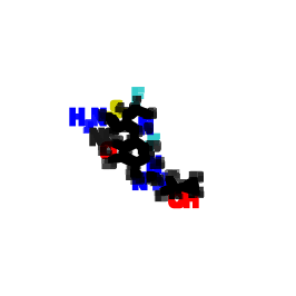 N#Cc1c(N)sc2c(F)cnc(-c3c4c(c5cnc(N6CC(O)(C7CC7)C6)nc5c3F)COC4)c12